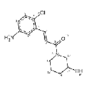 Nc1ccc(O)c(C=CC(=O)N2CCCC(O)C2)c1